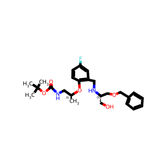 C[C@@H](CNC(=O)OC(C)(C)C)Oc1ccc(F)cc1CN[C@@H](CO)COCc1ccccc1